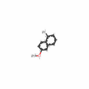 CC(C)Oc1ccc2c(C(C)C)cccc2c1